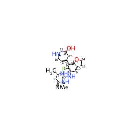 CNC1CC(C)NC(Nc2cc3c(c(C4=CCNC[C@@H](O)C4)c2F)OCC3)N1